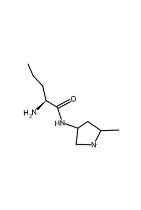 CCC[C@H](N)C(=O)NC1C[N]C(C)C1